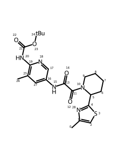 Cc1csc(C2CCCCN2C(=O)C(=O)Nc2cnc(NC(=O)OC(C)(C)C)c(C)c2)n1